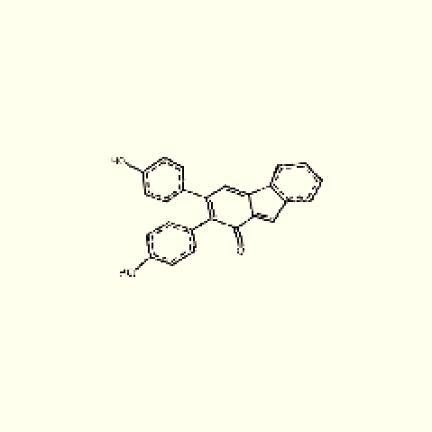 O=C1C2=Cc3ccccc3C2=CC(c2ccc(O)cc2)=C1c1ccc(O)cc1